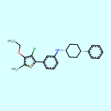 O=C(O)COc1c(C(=O)O)sc(-c2cccc(N[C@H]3CC[C@@H](c4ccccc4)CC3)c2)c1Br